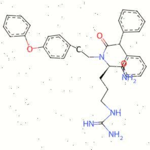 N=C(N)NCCC[C@H](C(N)=O)N(CCc1ccc(Oc2ccccc2)cc1)C(=O)C(c1ccccc1)c1ccccc1